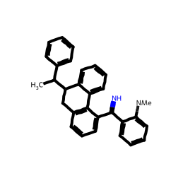 CNc1ccccc1C(=N)c1cccc2c1-c1ccccc1C(C(C)c1ccccc1)C2